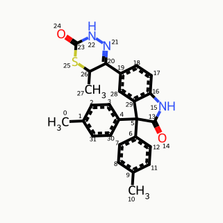 Cc1ccc(C2(c3ccc(C)cc3)C(=O)Nc3ccc(C4=NNC(=O)SC4C)cc32)cc1